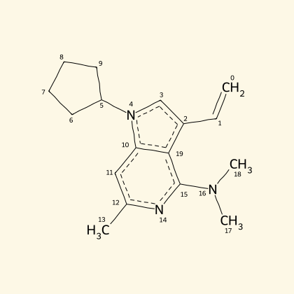 C=Cc1cn(C2CCCC2)c2cc(C)nc(N(C)C)c12